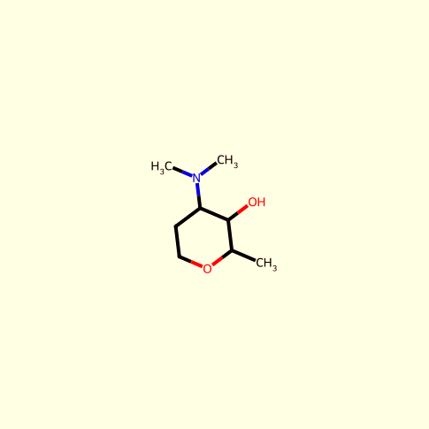 CC1OCCC(N(C)C)C1O